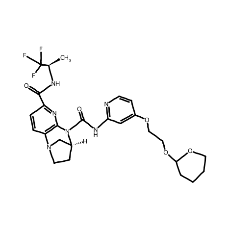 C[C@@H](NC(=O)c1ccc2c(n1)N(C(=O)Nc1cc(OCCOC3CCCCO3)ccn1)[C@H]1CCN2C1)C(F)(F)F